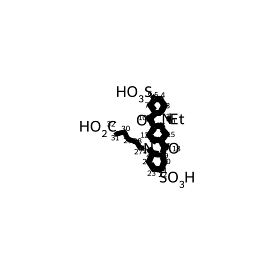 CCn1c2ccc(S(=O)(=O)O)cc2c(=O)c2cc3c(cc21)c(=O)c1cc(S(=O)(=O)O)ccc1n3CCCCCC(=O)O